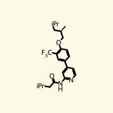 CC(C)CC(=O)Nc1cc(-c2ccc(OC[C@H](C)CC(C)C)c(C(F)(F)F)c2)ccn1